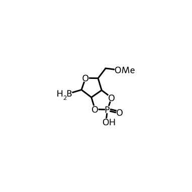 BC1OC(COC)C2OP(=O)(O)OC12